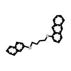 [c]1c(OCCCCOc2cccc3cc4ccccc4cc23)ccc2ccccc12